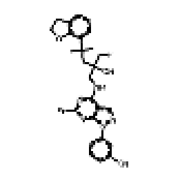 CCc1nc(NCC(O)(CF)CC(C)(C)c2cccc3c2OCC3)c2cnn(-c3cccc(C#N)c3)c2n1